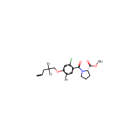 C=CCC(CC)(CC)COc1cc(F)c(C(=O)N2CCC[C@H]2C(=O)OC(C)(C)C)cc1C(C)C